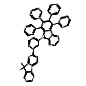 CC1(C)c2ccccc2-c2ccc(-c3cccc(-n4c5ccccc5c5c(-c6ccccc6)c(-c6ccccc6)c(-c6ccccc6)c(-c6ccccc6)c54)c3)cc21